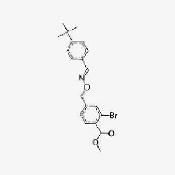 COC(=O)c1ccc(CO/N=C/c2ccc(C(C)(C)C)cc2)cc1Br